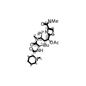 CC[C@H](C)[C@H](NC(=O)[C@H]1CCCCN1C)C(=O)N(C)[C@H](C[C@@H](OC(C)=O)c1nc(C(=O)NC)cs1)C(C)C